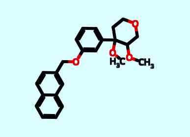 COC1COCCC1(OC)c1cccc(OCc2ccc3ccccc3c2)c1